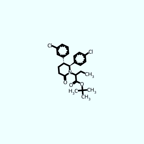 CCC(C(=O)OC(C)(C)C)N1C(=O)CC[C@H](c2cccc(Cl)c2)[C@H]1c1ccc(Cl)cc1